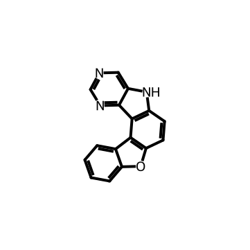 c1ccc2c(c1)oc1ccc3[nH]c4cncnc4c3c12